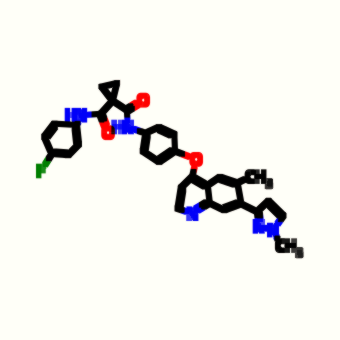 Cc1cc2c(Oc3ccc(NC(=O)C4(C(=O)Nc5ccc(F)cc5)CC4)cc3)ccnc2cc1-c1ccn(C)n1